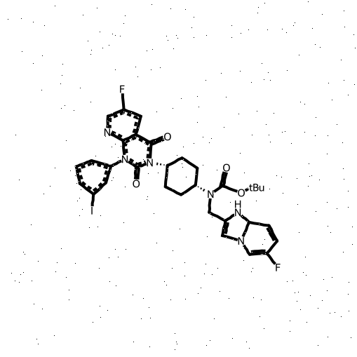 CC(C)(C)OC(=O)N(CC1=CN2C=C(F)C=CC2N1)[C@H]1CC[C@@H](n2c(=O)c3cc(F)cnc3n(-c3cccc(I)c3)c2=O)CC1